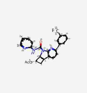 CC(=O)O[C@H]1CC2c3ccc(-c4cccc(C(F)(F)F)c4)nc3N(C(=O)Nc3ccccn3)C21